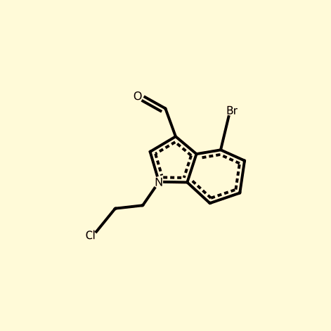 O=Cc1cn(CCCl)c2cccc(Br)c12